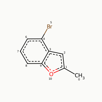 Cc1cc2c(Br)cccc2o1